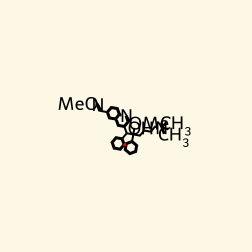 CO/N=C/c1ccc2nc(OC)c(C(c3ccccc3)C(O)(CCCCN(C)C)c3ccccc3)cc2c1